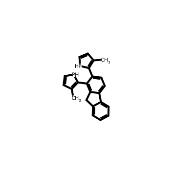 Cc1cc[pH]c1-c1ccc2c(c1-c1[pH]ccc1C)[CH]c1ccccc1-2